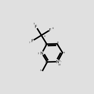 CC1=NC(C(F)(F)F)=[C][C]=[N+]1